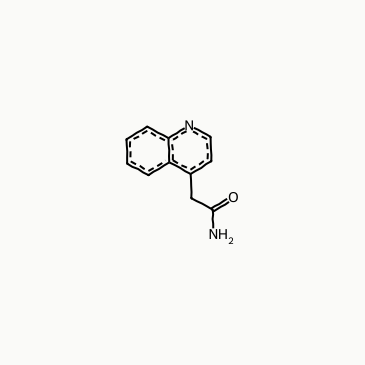 NC(=O)Cc1ccnc2ccccc12